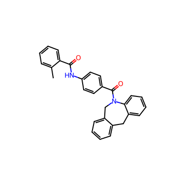 Cc1ccccc1C(=O)Nc1ccc(C(=O)N2Cc3ccccc3Cc3ccccc32)cc1